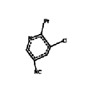 [C-]#[N+]c1cnc(C(C)C)c(Cl)c1